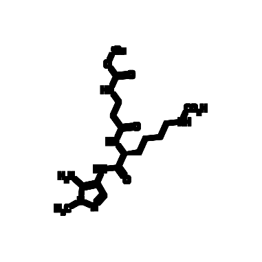 Cn1ncc(NC(=O)[C@H](CCCCNC(=O)O)NC(=O)CCNC(=O)OC(C)(C)C)c1N